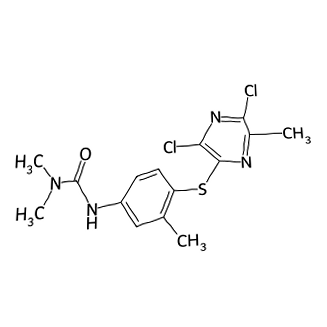 Cc1cc(NC(=O)N(C)C)ccc1Sc1nc(C)c(Cl)nc1Cl